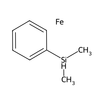 C[SiH](C)c1ccccc1.[Fe]